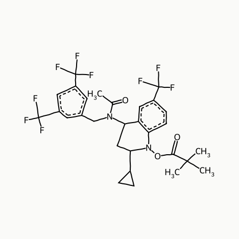 CC(=O)N(Cc1cc(C(F)(F)F)cc(C(F)(F)F)c1)C1CC(C2CC2)N(OC(=O)C(C)(C)C)c2ccc(C(F)(F)F)cc21